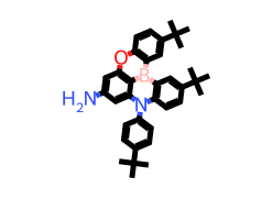 CC(C)(C)c1ccc(N2c3ccc(C(C)(C)C)cc3B3c4cc(C(C)(C)C)ccc4Oc4cc(N)cc2c43)cc1